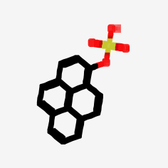 O=S(=O)(O)Oc1ccc2ccc3cccc4ccc1c2c34